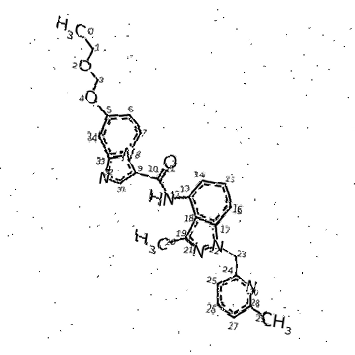 CCOCOc1ccn2c(C(=O)Nc3cccc4c3c(C)nn4Cc3cccc(C)n3)cnc2c1